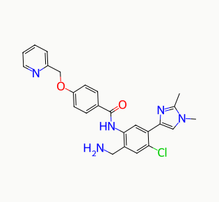 Cc1nc(-c2cc(NC(=O)c3ccc(OCc4ccccn4)cc3)c(CN)cc2Cl)cn1C